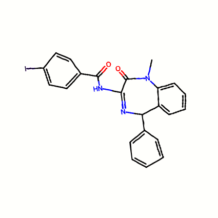 CN1C(=O)C(NC(=O)c2ccc(I)cc2)=NC(c2ccccc2)c2ccccc21